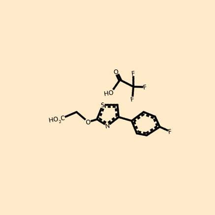 O=C(O)C(F)(F)F.O=C(O)COc1nc(-c2ccc(F)cc2)cs1